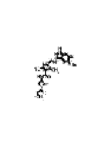 C=CC(=O)N1CC(NC(=O)c2c(C#N)nc(CNc3n[nH]c4cc(Cl)c(C(C)(C)C)cc34)n2C)C1